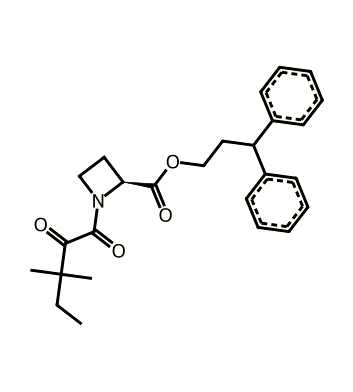 CCC(C)(C)C(=O)C(=O)N1CC[C@H]1C(=O)OCCC(c1ccccc1)c1ccccc1